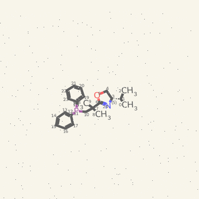 CC(C)[C@H]1COC(C(C)(C)CP(c2ccccc2)c2ccccc2)=N1